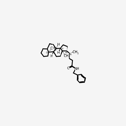 C[C@H](CCC(=O)NCc1ccccc1)[C@H]1CC[C@H]2[C@@H]3CCC4CCCC[C@]4(C)[C@H]3CC[C@]12C